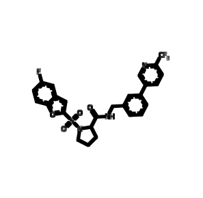 O=C(NCc1cccc(-c2ccc(C(F)(F)F)nc2)c1)C1CCCN1S(=O)(=O)c1cc2cc(F)ccc2o1